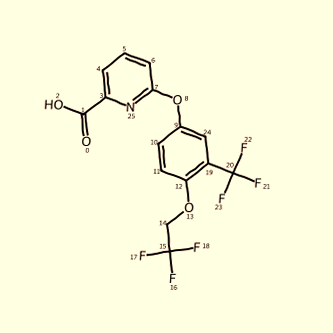 O=C(O)c1cccc(Oc2ccc(OCC(F)(F)F)c(C(F)(F)F)c2)n1